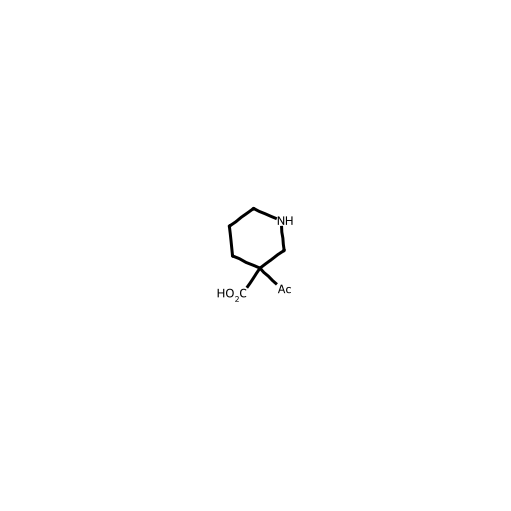 CC(=O)C1(C(=O)O)CCCNC1